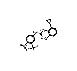 O=C(Nc1ccc([N+](=O)[O-])c(C(F)(F)F)c1)Nc1c(Cl)cccc1C1CC1